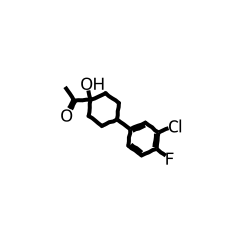 CC(=O)C1(O)CCC(c2ccc(F)c(Cl)c2)CC1